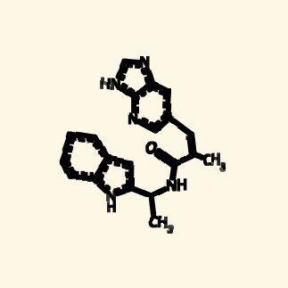 CC(=Cc1cnc2[nH]cnc2c1)C(=O)NC(C)c1cc2ccccc2[nH]1